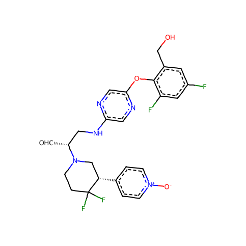 O=C[C@H](CNc1cnc(Oc2c(F)cc(F)cc2CO)cn1)N1CCC(F)(F)[C@@H](c2cc[n+]([O-])cc2)C1